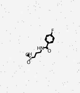 O=C(NCCC[SH](=O)=O)c1ccc(F)cc1